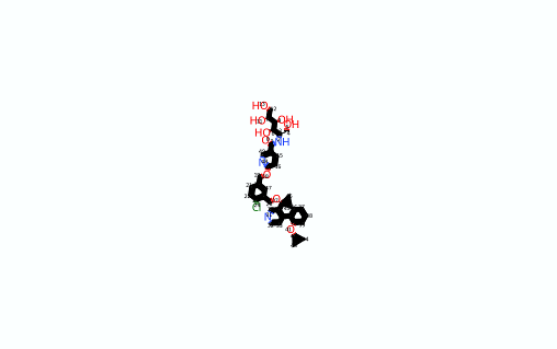 O=C(N[C@@H](CO)[C@@H](O)[C@H](O)[C@H](O)CO)c1ccc(OCc2ccc(Cl)c(COC3(c4cnccc4-c4ccccc4OC4CC4)CC3)c2)nc1